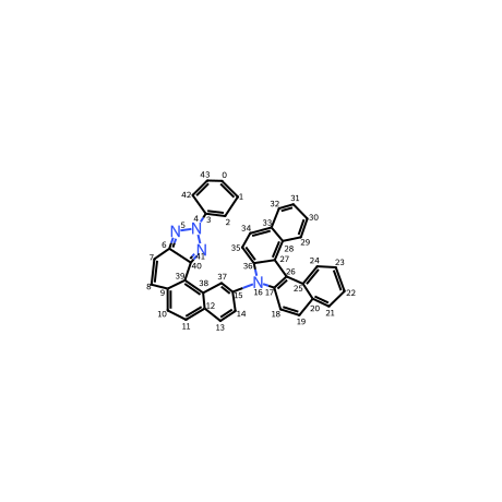 c1ccc(-n2nc3ccc4ccc5ccc(-n6c7ccc8ccccc8c7c7c8ccccc8ccc76)cc5c4c3n2)cc1